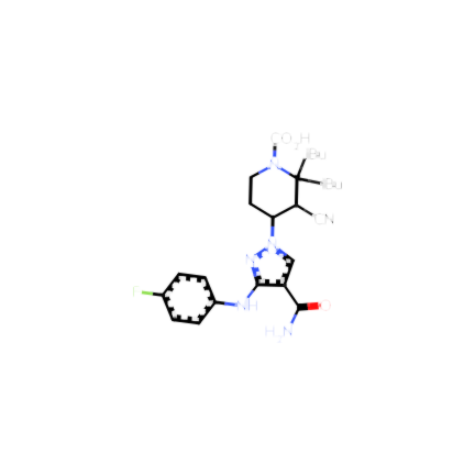 CCC(C)C1(C(C)CC)C(C#N)C(n2cc(C(N)=O)c(Nc3ccc(F)cc3)n2)CCN1C(=O)O